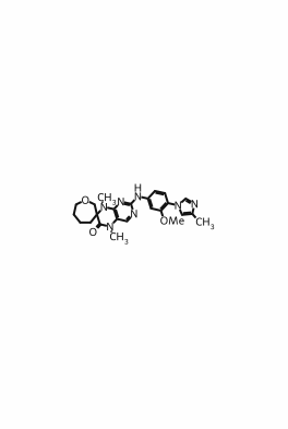 COc1cc(Nc2ncc3c(n2)N(C)C2(CCCCOC2)C(=O)N3C)ccc1-n1cnc(C)c1